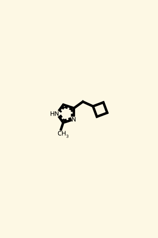 Cc1nc([CH]C2CCC2)c[nH]1